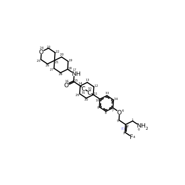 NC/C(=C\F)COc1ccc(C23CCC(C(=O)NC4CCC5(CCOCC5)CC4)(CC2)CC3)cc1